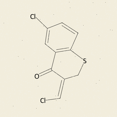 O=C1/C(=C\Cl)CSc2ccc(Cl)cc21